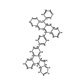 c1ccc(-c2c3ccccc3cc3c(-c4ccc(-c5ccc6c7ccccc7n7c8ccccc8nc7c6c5)cc4)c4ccccc4cc23)cc1